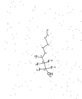 CCCCCCC(F)C(F)(F)C(O)(F)F